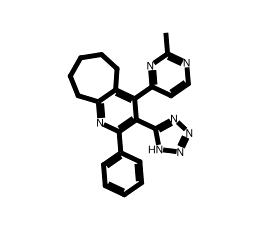 Cc1nccc(-c2c3c(nc(-c4ccccc4)c2-c2nnn[nH]2)CCCCC3)n1